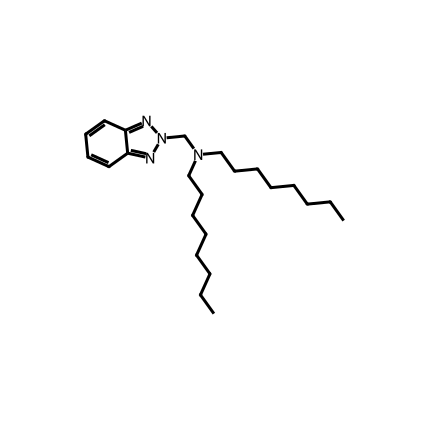 CCCCCCCCN(CCCCCCCC)Cn1nc2ccccc2n1